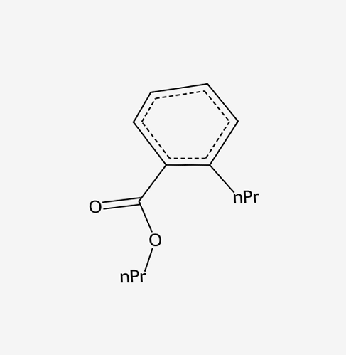 CCCOC(=O)c1ccccc1CCC